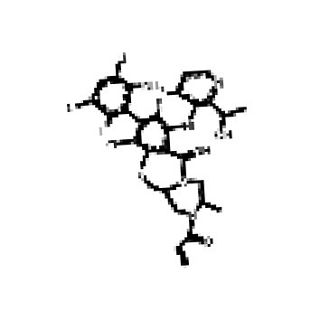 C=CC(=O)N1CC2CSc3c(Cl)c(-c4c(N)c(Cl)cc(Cl)c4F)c(F)c(Nc4c(C)ccnc4C(C)O)c3C(=N)N2CC1C